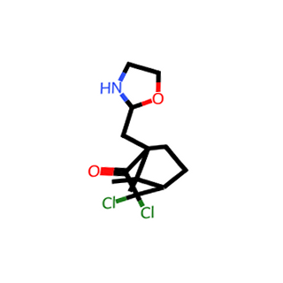 CC1(C)C2CCC1(CC1NCCO1)C(=O)C2(Cl)Cl